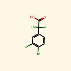 O=C(O)C(F)(F)c1ccc(Br)c(Cl)c1